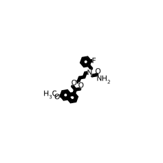 COc1ccc2c(C3COC(CCCN(CC(N)=O)Cc4ccccc4F)OC3)cccc2c1